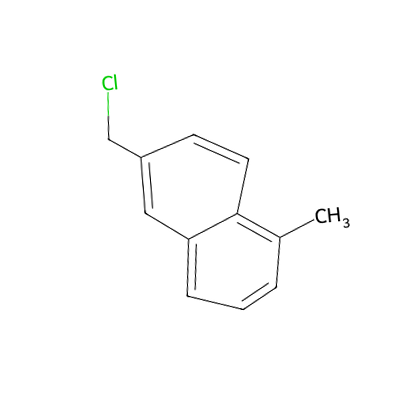 Cc1cccc2cc(CCl)ccc12